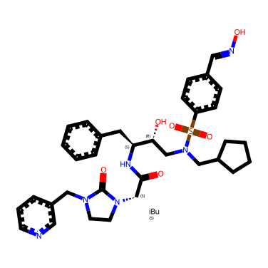 CC[C@H](C)[C@@H](C(=O)N[C@@H](Cc1ccccc1)[C@H](O)CN(CC1CCCC1)S(=O)(=O)c1ccc(C=NO)cc1)N1CCN(Cc2cccnc2)C1=O